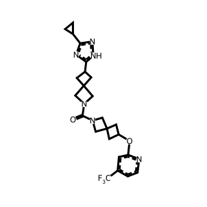 O=C(N1CC2(CC(Oc3cc(C(F)(F)F)ccn3)C2)C1)N1CC2(CC(c3nc(C4CC4)n[nH]3)C2)C1